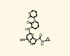 CNc1cc(Nc2cccn(-c3cccnc3C)c2=O)nc2c(C(=O)NC3CC3)cnn12